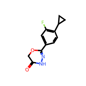 O=C1COC(c2ccc(C3CC3)c(F)c2)=NN1